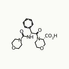 O=C(O)[C@@H]1COCCN1C(=O)[C@H](NC(=O)N1CCOCC1)c1ccccc1